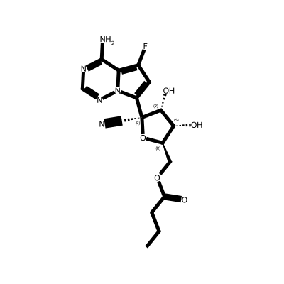 CCCC(=O)OC[C@H]1O[C@@](C#N)(c2cc(F)c3c(N)ncnn23)[C@H](O)[C@@H]1O